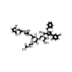 CCC(=O)NCCNC(=O)[C@H](CCN(C(=O)CO)[C@@H](c1cc(-c2cc(F)ccc2F)cn1Cc1ccccc1)C(C)(C)C)NC(=O)CNC(=O)CNC(=O)CN1C(=O)C=CC1=O